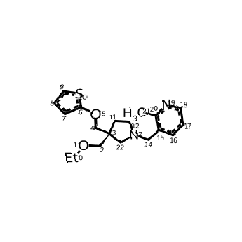 CCOC[C@@]1(COc2cccs2)CCN(Cc2cccnc2C)C1